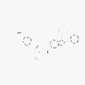 O=C(O)/C=C/c1ccc(NC(=O)C2(NC(=O)c3ccc4c(C5CCCCC5)c5n(c4c3)CCNc3ccccc3-5)CCCC2)cc1